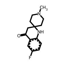 CN1CCC2(CC1)CC(=O)c1cc(F)ccc1N2